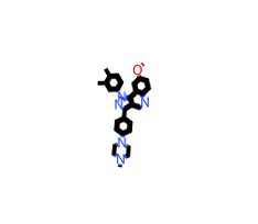 COc1ccc2ncc3c(-c4ccc(N5CCN(C)CC5)cc4)nn(-c4ccc(C)c(C)c4)c3c2c1